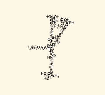 COCCOCCOCCC(=O)NC(COCCC(=O)NCCOCCOCCOC1OC(CO)C(O)CC1C)(COCCC(=O)NCCOCCOCCOC1OC(CO)C(O)C(O)C1C)COCCC(=O)NCCOCCOCCOC1OC(CO)C(O)C(O)C1C